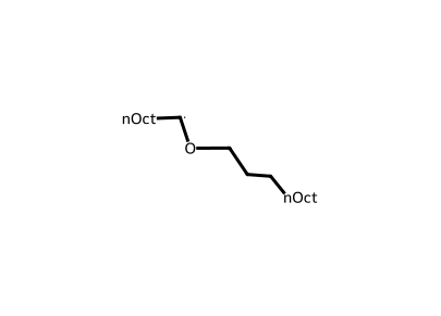 CCCCCCCC[CH]OCCCCCCCCCCC